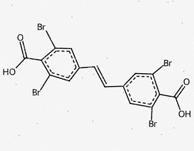 O=C(O)c1c(Br)cc(/C=C/c2cc(Br)c(C(=O)O)c(Br)c2)cc1Br